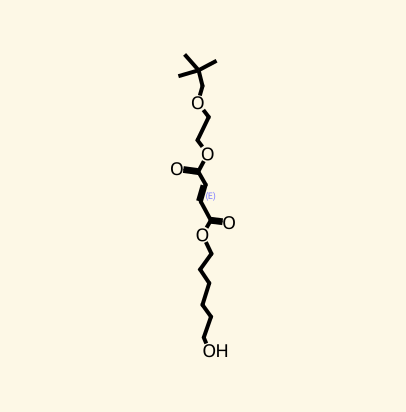 CC(C)(C)COCCOC(=O)/C=C/C(=O)OCCCCCCO